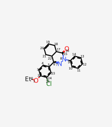 CCOc1ccc(C2=NN(c3ccccc3)C(=O)C3CC=CCC23)cc1Cl